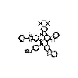 Cn1c(-c2ccccc2)nc2cc3c(cc21)-n1c2cc4c(cc2c2c5c(oc6ccccc65)c5c(c21)B3N(c1ccc(C(C)(C)C)cc1)c1cc2sc3ccccc3c2cc1-5)C(C)(C)CCC4(C)C